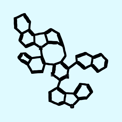 c1ccc2cc(-c3nc(-c4cccc5oc6ccccc6c45)nc4c3Cc3ccc5c6c7ccccc7ccc6n(c5c3)-c3c-4ccc4ccccc34)ccc2c1